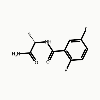 C[C@H](NC(=O)c1cc(F)ccc1F)C(N)=O